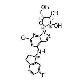 OC[C@H]1O[C@@H](n2ncc3c(N[C@@H]4CCc5ccc(F)cc54)cc(Cl)nc32)[C@H](O)[C@@H]1O